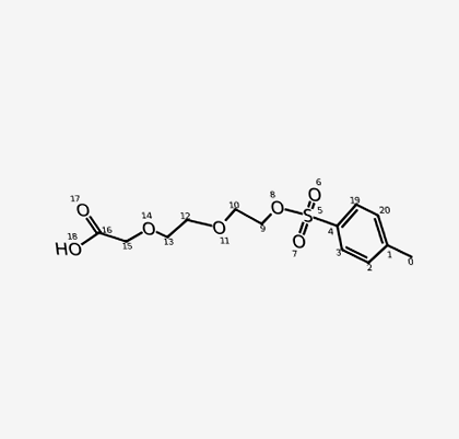 Cc1ccc(S(=O)(=O)OCCOCCOCC(=O)O)cc1